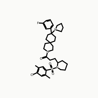 Cc1cc(S(=O)(=O)N2CCCCC2CCC(=O)N2CCC3(CC2)CCC(c2cccc(F)c2)(N2CCCC2)CC3)c(C)cc1Cl